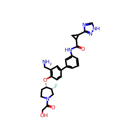 NCc1cc(-c2cccc(NC(=O)C3CC3c3nc[nH]n3)c2)ccc1O[C@H]1CCN(C(=O)CO)C[C@H]1F